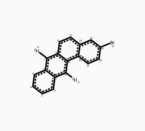 [2H]c1c2ccccc2c([2H])c2c1ccc1cc(Br)ccc12